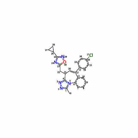 Cc1nnc2n1-c1ccccc1C(c1ccc(Cl)cc1)=CC2Cc1nc(C2CC2)no1